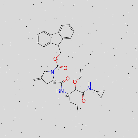 C=C1C[C@@H](C(=O)N[C@@H](CCC)C(OCC)C(=O)NC2CC2)N(C(=O)OCC2c3ccccc3-c3ccccc32)C1